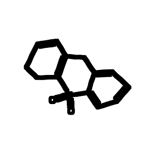 O=S1(=O)C2=C(C=CCC2)Cc2ccccc21